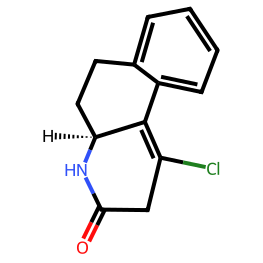 O=C1CC(Cl)=C2c3ccccc3CC[C@@H]2N1